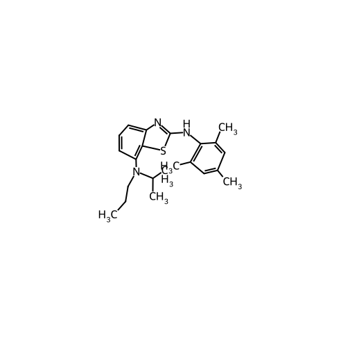 CCCN(c1cccc2nc(Nc3c(C)cc(C)cc3C)sc12)C(C)C